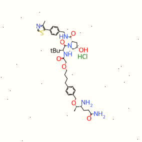 Cc1ncsc1-c1ccc(CNC(=O)[C@@H]2C[C@H](O)CN2C(=O)[C@@H](NC(=O)COCCCCc2ccc(CO[C@H](C)[C@@H](N)CCC(N)=O)cc2)C(C)(C)C)cc1.Cl